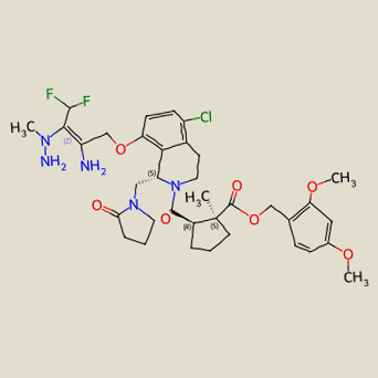 COc1ccc(COC(=O)[C@@]2(C)CCC[C@H]2C(=O)N2CCc3c(Cl)ccc(OC/C(N)=C(\C(F)F)N(C)N)c3[C@H]2CN2CCCC2=O)c(OC)c1